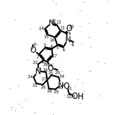 COc1cc(-c2cn(C)c(=O)c3cnccc23)cc(OC)c1CN1CCCC2(CCN(OCO)CC2)C1